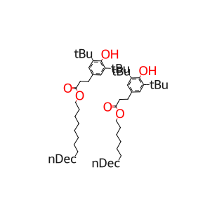 CCCCCCCCCCCCCCCCCCOC(=O)CCc1cc(C(C)(C)C)c(O)c(C(C)(C)C)c1.CCCCCCCCCCCCCCCCOC(=O)CCc1cc(C(C)(C)C)c(O)c(C(C)(C)C)c1